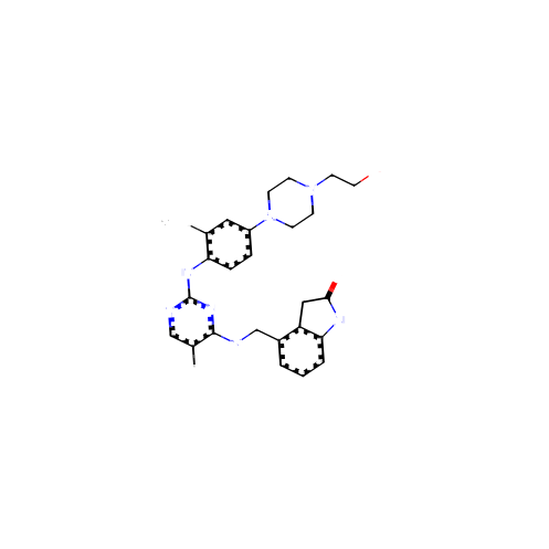 COc1cc(N2CCN(CCO)CC2)ccc1Nc1ncc(C(F)(F)F)c(NCc2cccc3c2CC(=O)N3)n1